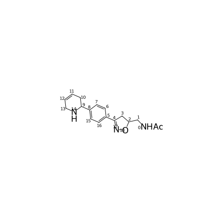 CC(=O)NCC1CC(c2ccc(C3CC=CCN3)cc2)=NO1